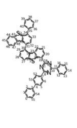 c1ccc(-c2ccc(-c3nc(-c4ccccc4)nc(-c4cccc5c4sc4cccc(-c6ccc(-c7ccccc7)c7sc8ccccc8c67)c45)n3)cc2)cc1